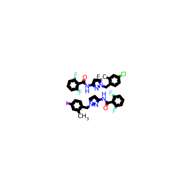 Cc1cc(I)ccc1Cn1ccc(NC(=O)c2c(F)cccc2F)n1.O=C(Nc1ccn(Cc2ccc(Cl)cc2C(F)(F)F)n1)c1c(F)cccc1F